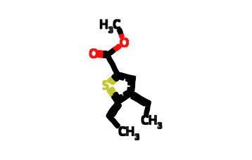 C/C=c1/cc(C(=O)OC)s/c1=C/C